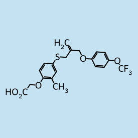 C=C(COc1ccc(OC(F)(F)F)cc1)CSc1ccc(OCC(=O)O)c(C)c1